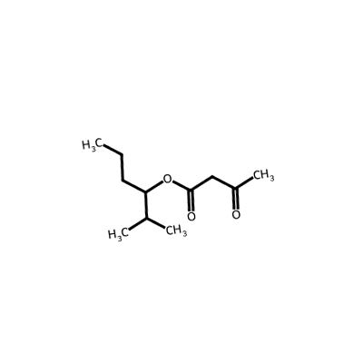 CCCC(OC(=O)CC(C)=O)C(C)C